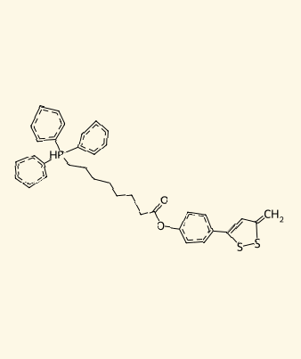 C=C1C=C(c2ccc(OC(=O)CCCCCCC[PH](c3ccccc3)(c3ccccc3)c3ccccc3)cc2)SS1